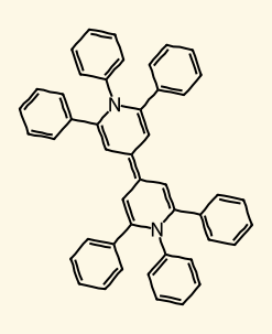 C1=C(c2ccccc2)N(c2ccccc2)C(c2ccccc2)=CC1=C1C=C(c2ccccc2)N(c2ccccc2)C(c2ccccc2)=C1